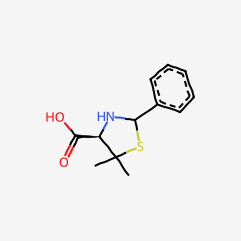 CC1(C)SC(c2ccccc2)N[C@@H]1C(=O)O